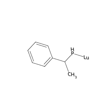 CC([PH][Lu])c1ccccc1